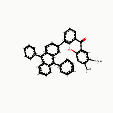 COc1cc(O)c(C(=O)c2cccc(-c3ccc4c(-c5ccccc5)c5ccccc5c(-c5ccccc5)c4c3)c2)cc1S(=O)(=O)O